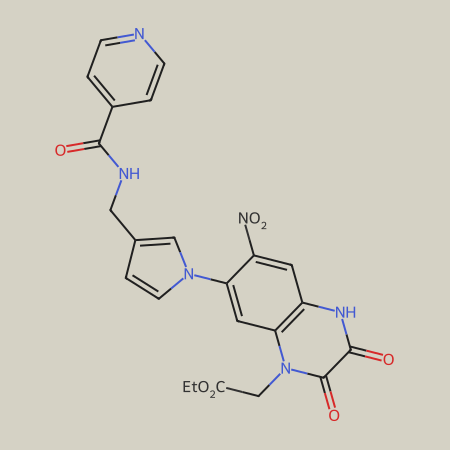 CCOC(=O)Cn1c(=O)c(=O)[nH]c2cc([N+](=O)[O-])c(-n3ccc(CNC(=O)c4ccncc4)c3)cc21